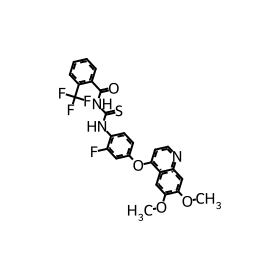 COc1cc2nccc(Oc3ccc(NC(=S)NC(=O)c4ccccc4C(F)(F)F)c(F)c3)c2cc1OC